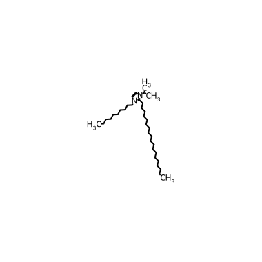 CCCCCCCCCCCCCCCCCCCc1n(C(C)C)cc[n+]1CCCCCCCCCC